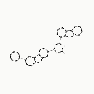 Clc1nc(-c2ccc3c(c2)oc2ccc(-c4ccccc4)cc23)nc(-c2cccc3c2oc2ccccc23)n1